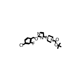 CC(C)(C)OC(=O)N1CCN(c2ccnc(OCc3ccc(Cl)cc3F)n2)CC1